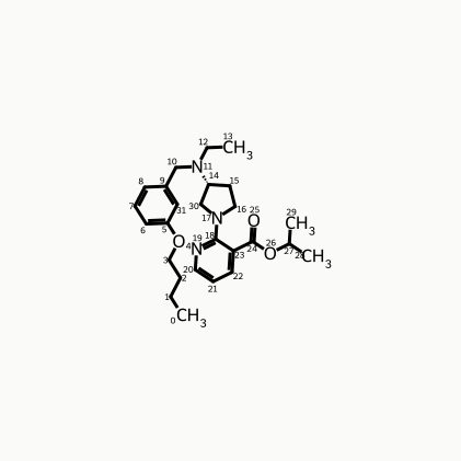 CCCCOc1cccc(CN(CC)[C@@H]2CCN(c3ncccc3C(=O)OC(C)C)C2)c1